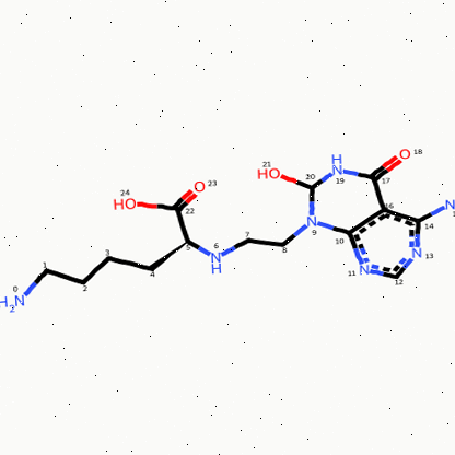 NCCCC[C@H](NCCN1c2ncnc(N)c2C(=O)NC1O)C(=O)O